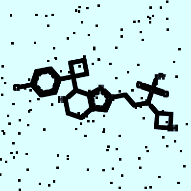 CCCS(=O)(=O)N(CCn1cc2c(n1)C(C1(c3ccc(Cl)cc3)CCC1)NCC2)C1CNC1